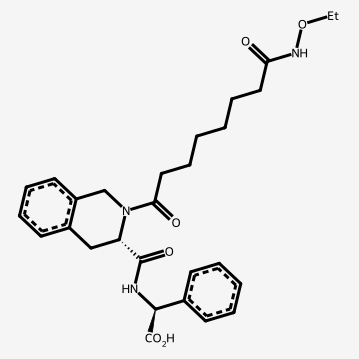 CCONC(=O)CCCCCCC(=O)N1Cc2ccccc2C[C@H]1C(=O)N[C@H](C(=O)O)c1ccccc1